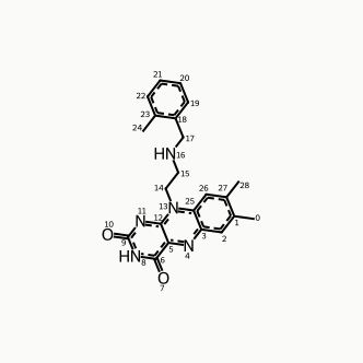 Cc1cc2nc3c(=O)[nH]c(=O)nc-3n(CCNCc3ccccc3C)c2cc1C